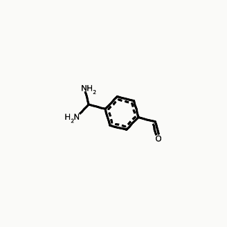 NC(N)c1ccc(C=O)cc1